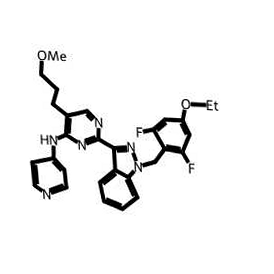 CCOc1cc(F)c(Cn2nc(-c3ncc(CCCOC)c(Nc4ccncc4)n3)c3ccccc32)c(F)c1